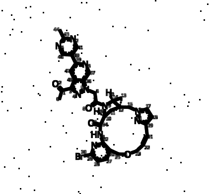 CC(=O)c1nn(CC(=O)N2[C@H]3C[C@]4(C[C@@H]24)Cn2ccc(n2)/C=C\COCc2ccc(Br)nc2NC3=O)c2cnc(-c3cnc(C)nc3)cc12